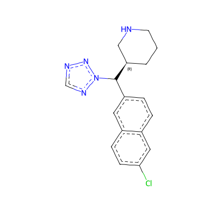 Clc1ccc2cc(C([C@@H]3CCCNC3)n3ncnn3)ccc2c1